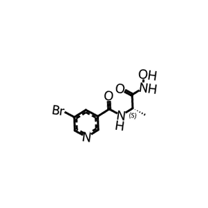 C[C@H](NC(=O)c1cncc(Br)c1)C(=O)NO